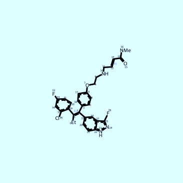 CC/C(=C(/c1ccc(OCCNC/C=C/C(=O)NC)cc1)c1ccc2[nH]nc(F)c2c1)c1ccc(F)cc1Cl